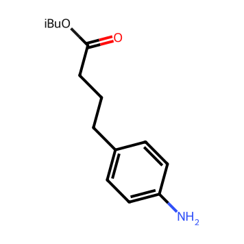 CC(C)COC(=O)CCCc1ccc(N)cc1